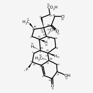 C[C@@H]1C[C@H]2[C@@H]3C[C@H](F)C4=CC(=O)C(O)C[C@]4(C)[C@H]3CC[C@]2(C)[C@@]1(CCC(=O)O)C(=O)CCl